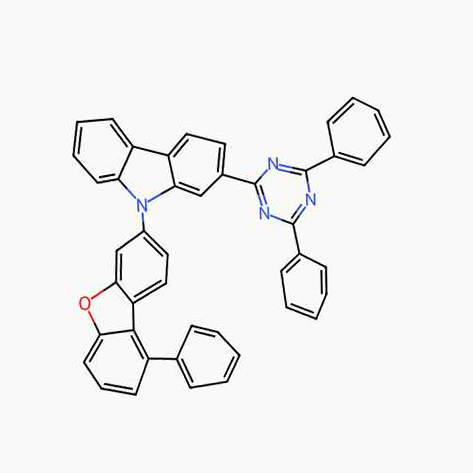 c1ccc(-c2nc(-c3ccccc3)nc(-c3ccc4c5ccccc5n(-c5ccc6c(c5)oc5cccc(-c7ccccc7)c56)c4c3)n2)cc1